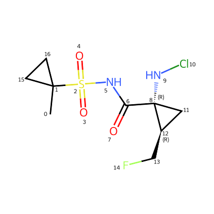 CC1(S(=O)(=O)NC(=O)[C@@]2(NCl)C[C@H]2CF)CC1